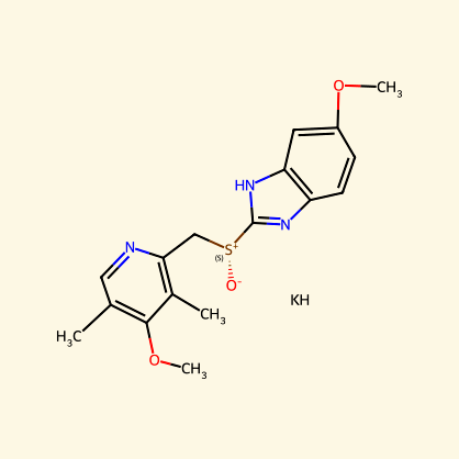 COc1ccc2nc([S@+]([O-])Cc3ncc(C)c(OC)c3C)[nH]c2c1.[KH]